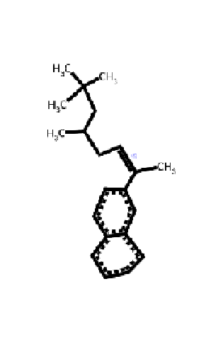 C/C(=C/CC(C)CC(C)(C)C)c1ccc2ccccc2c1